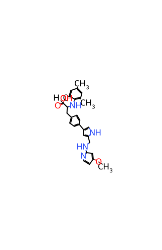 COc1ccnc(NCc2cc(-c3ccc(CC(Nc4c(C)cc(C)cc4C)C(=O)O)cc3)c[nH]2)c1